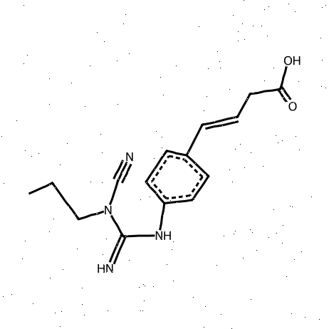 CCCN(C#N)C(=N)Nc1ccc(/C=C/CC(=O)O)cc1